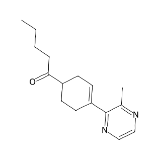 CCCCC(=O)C1CC=C(c2nccnc2C)CC1